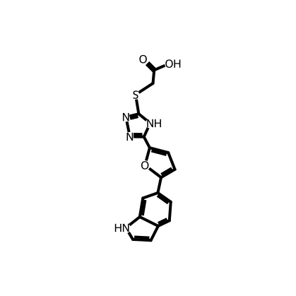 O=C(O)CSc1nnc(-c2ccc(-c3ccc4cc[nH]c4c3)o2)[nH]1